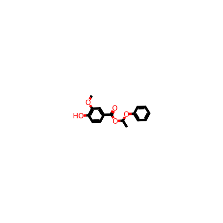 COc1cc(C(=O)OC(C)Oc2ccccc2)ccc1O